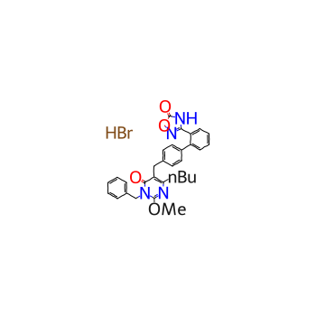 Br.CCCCc1nc(OC)n(Cc2ccccc2)c(=O)c1Cc1ccc(-c2ccccc2-c2noc(=O)[nH]2)cc1